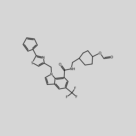 O=COC1CCC(CNC(=O)c2cc(C(F)(F)F)cc3ccn(Cc4csc(-c5ccccc5)n4)c23)CC1